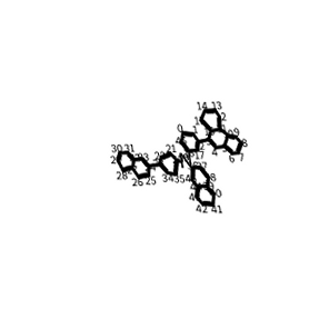 c1cc(-c2cc3ccccc3c3ccccc23)cc(N(c2ccc(-c3ccc4ccccc4c3)cc2)c2ccc3ccccc3c2)c1